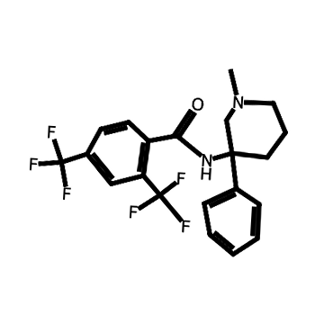 CN1CCCC(NC(=O)c2ccc(C(F)(F)F)cc2C(F)(F)F)(c2ccccc2)C1